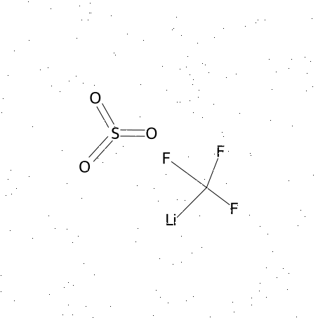 O=S(=O)=O.[Li][C](F)(F)F